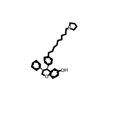 Oc1ccc2c(c1)[C@H](c1ccc(CCCCCCCCCN3CCCC3)cc1)[C@H](c1ccccc1)CO2